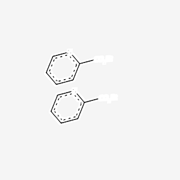 CCOC(=O)c1ccccn1.CCOC(=O)c1ccccn1